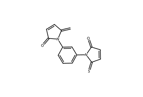 C=C1C=CC(=O)N1c1cccc(N2C(=O)C=CC2=S)c1